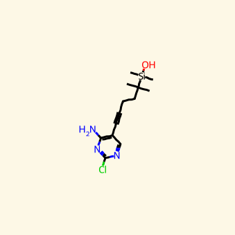 CC(C)(CCC#Cc1cnc(Cl)nc1N)[Si](C)(C)O